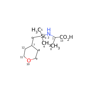 CC(N[Si](C)(C)CC1CCOCC1)C(=O)O